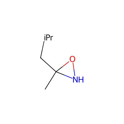 CC(C)CC1(C)NO1